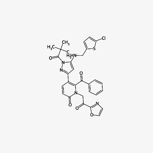 CC(C)(C)C(=O)n1nc(-c2ccc(=O)n(CC(=O)c3ncco3)c2C(=O)c2ccccc2)cc1NCc1ccc(Cl)s1